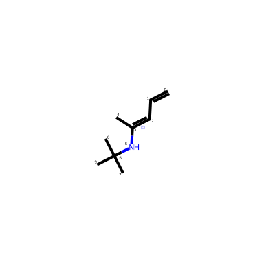 C=C/C=C(\C)NC(C)(C)C